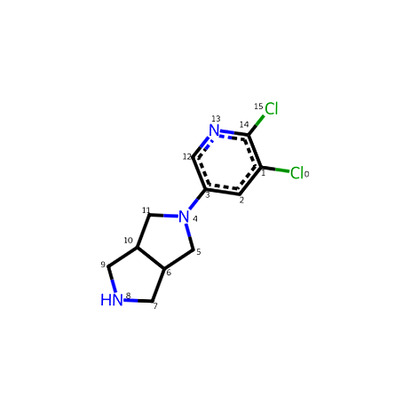 Clc1cc(N2CC3CNCC3C2)cnc1Cl